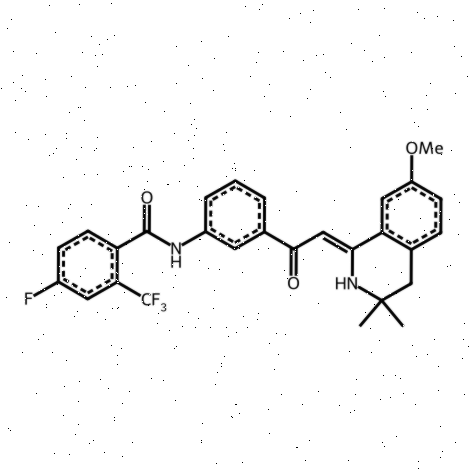 COc1ccc2c(c1)C(=CC(=O)c1cccc(NC(=O)c3ccc(F)cc3C(F)(F)F)c1)NC(C)(C)C2